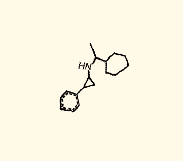 CC(NC1CC1c1ccccc1)C1CCCCC1